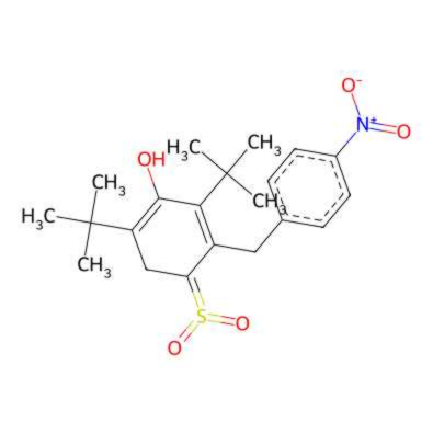 CC(C)(C)C1=C(O)C(C(C)(C)C)=C(Cc2ccc([N+](=O)[O-])cc2)C(=S(=O)=O)C1